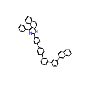 c1ccc(-c2nc(-c3ccc(-c4ccc(-c5cccc(-c6cccc(-c7ccc8ccccc8c7)c6)c5)cc4)cc3)nc3ccc4ccccc4c23)cc1